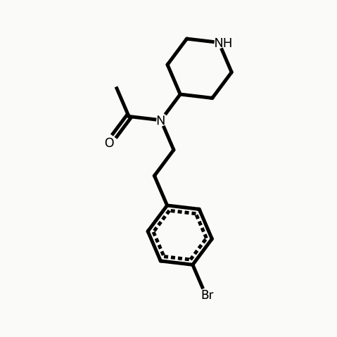 CC(=O)N(CCc1ccc(Br)cc1)C1CCNCC1